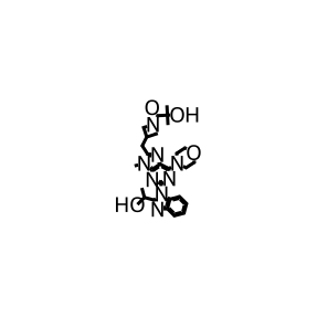 CC(O)c1nc2ccccc2n1-c1nc(N2CCOCC2)c2nc(CC3CN(C(=O)C(C)(C)O)C3)n(C)c2n1